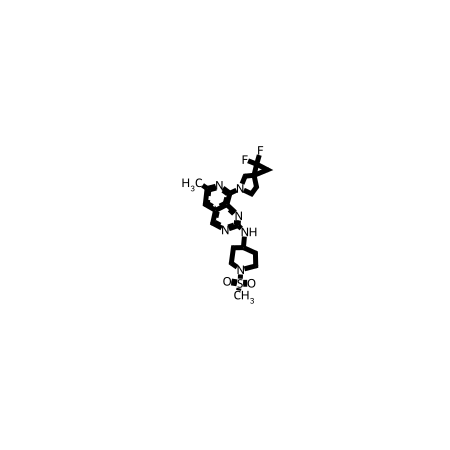 Cc1cc2cnc(NC3CCN(S(C)(=O)=O)CC3)nc2c(N2CCC3(C2)CC3(F)F)n1